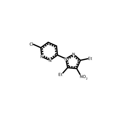 CCc1nn(-c2ccc(Cl)nn2)c(CC)c1[N+](=O)[O-]